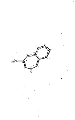 OC1=CNC=c2ccccc2=C1